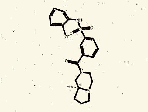 O=C(c1cccc(S(=O)(=O)Nc2ccccc2C(F)(F)F)c1)N1CCN2CCC[C@H]2C1